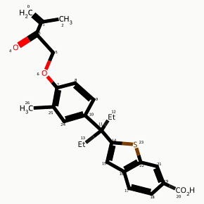 C=C(C)C(=O)COc1ccc(C(CC)(CC)c2cc3ccc(C(=O)O)cc3s2)cc1C